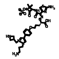 CC1(C)C(NC(=O)C(=NO[C@@H](CCCOc2ccc(-c3cn(CCCN)[n+](CC4CNC4)c3)cc2)C(=O)O)c2csc(N)n2)C(=O)N1OS(=O)(=O)[O-]